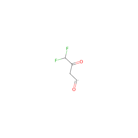 O=[C]CC(=O)[C](F)F